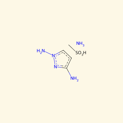 CS(=O)(=O)O.N.Nc1ccn(N)n1